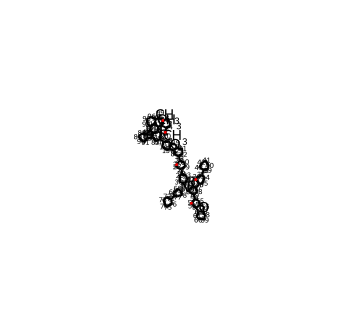 CC(C)c1ccccc1N1c2cc(-c3ccc4c(c3)oc3ccc(-c5ccc(-c6ccc7c(c6)B6c8cc(-c9ccccc9)ccc8-c8cc(-c9ccc%10c(c9)oc9ccccc9%10)cc(c86)N7c6ccc(-c7ccccc7)cc6)cc5)cc34)cc3c2B(c2ccccc2-3)c2cccc(C(C)C)c21